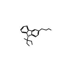 CCCCc1ccc2c(c1)c1ccccc1n2C(C)(CC)CC